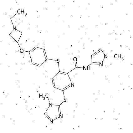 CCN1CC(Oc2ccc(Sc3ccc(Sc4nncn4C)nc3C(=O)Nc3ccn(C)n3)cc2)C1